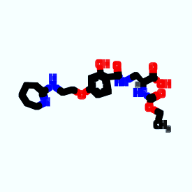 CCOC(=O)N[C@@H](CNC(=O)c1ccc(OCCNC2=NCCCCC2)cc1O)C(=O)O